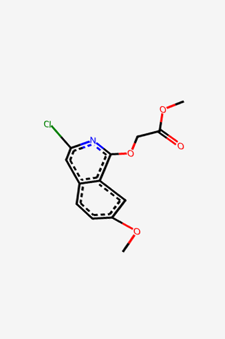 COC(=O)COc1nc(Cl)cc2ccc(OC)cc12